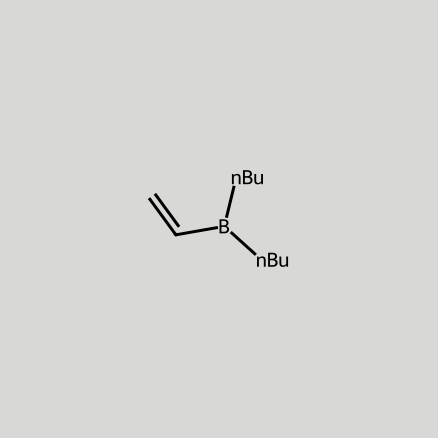 C=CB(CCCC)CCCC